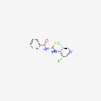 O=C(NC(=S)Nc1c(Cl)cncc1Cl)c1ccccc1